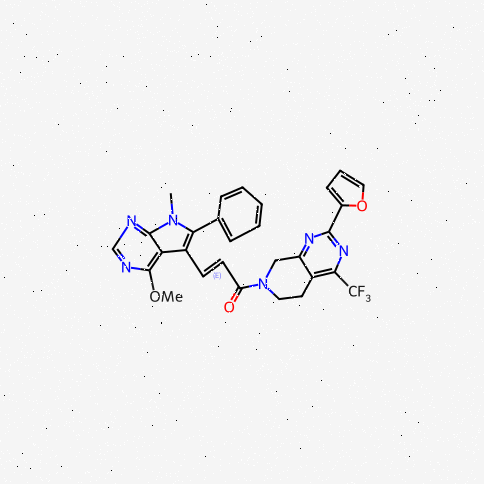 COc1ncnc2c1c(/C=C/C(=O)N1CCc3c(nc(-c4ccco4)nc3C(F)(F)F)C1)c(-c1ccccc1)n2C